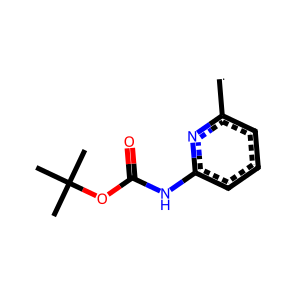 [CH2]c1cccc(NC(=O)OC(C)(C)C)n1